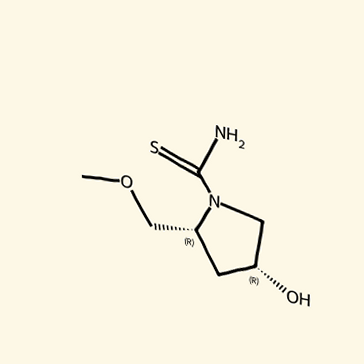 COC[C@H]1C[C@@H](O)CN1C(N)=S